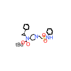 CC(C)(C)OC(=O)N(C1CCN(CCS(=O)(=O)Nc2ccccc2)CC1)[C@@H]1C[C@H]1c1ccccc1